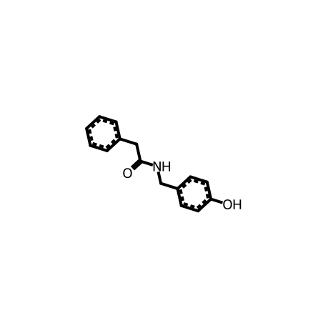 O=C(Cc1ccccc1)NCc1ccc(O)cc1